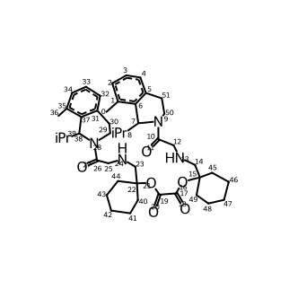 Cc1cccc2c1C(C(C)C)N(C(=O)CNCC1(OC(=O)C(=O)OC3(CNCC(=O)N4CCc5cccc(C)c5C4C(C)C)CCCCC3)CCCCC1)CC2